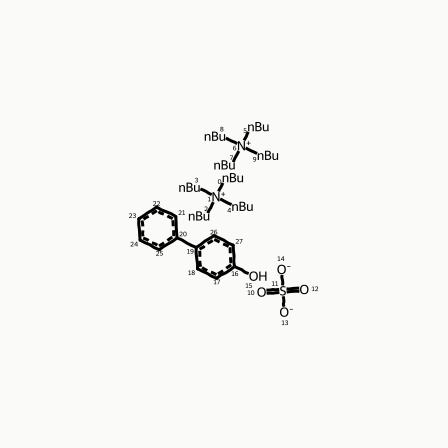 CCCC[N+](CCCC)(CCCC)CCCC.CCCC[N+](CCCC)(CCCC)CCCC.O=S(=O)([O-])[O-].Oc1ccc(-c2ccccc2)cc1